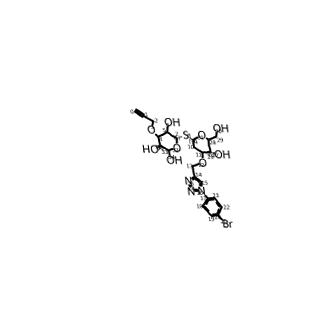 C#CCOC1C(O)[C@H](S[C@H]2CC(OCc3cn(-c4ccc(Br)cc4)nn3)[C@@H](O)C(CO)O2)OC(O)[C@@H]1O